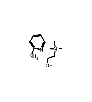 C[N+](C)(C)CCO.Nc1ccccn1